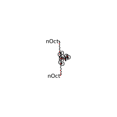 CCCCCCCC/C=C\CCCCCCCC(=O)OCCN(CCOC(=O)CCCCCCC/C=C\CCCCCCCC)C(=O)CN(C)COS(C)(=O)=O